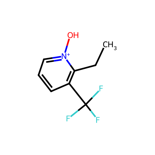 CCc1c(C(F)(F)F)ccc[n+]1O